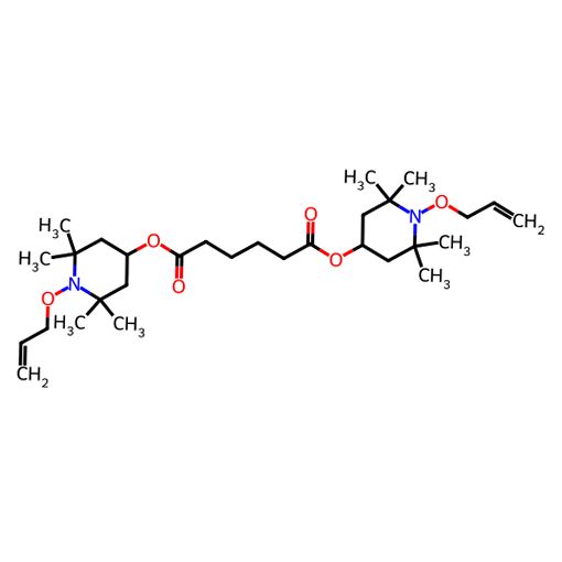 C=CCON1C(C)(C)CC(OC(=O)CCCCC(=O)OC2CC(C)(C)N(OCC=C)C(C)(C)C2)CC1(C)C